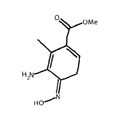 COC(=O)C1=CCC(=NO)C(N)=C1C